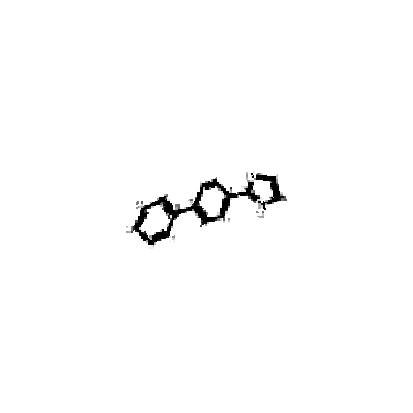 [c]1csc(-c2ccc(-c3ccccc3)cc2)n1